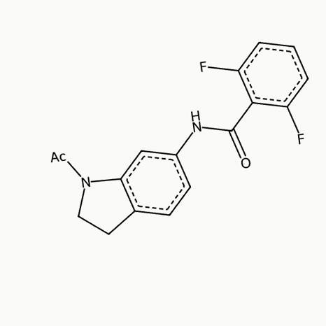 CC(=O)N1CCc2ccc(NC(=O)c3c(F)cccc3F)cc21